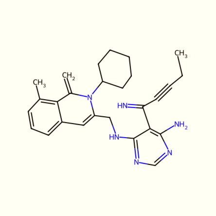 C=C1c2c(C)cccc2C=C(CNc2ncnc(N)c2C(=N)C#CCC)N1C1CCCCC1